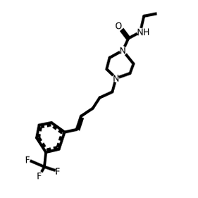 CCNC(=O)N1CCN(CCCC=Cc2cccc(C(F)(F)F)c2)CC1